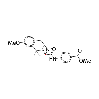 COC(=O)c1ccc(NC(=O)/C=C2\C3Cc4ccc(OC)cc4C2(C)CCN3C)cc1